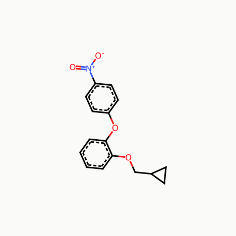 O=[N+]([O-])c1ccc(Oc2ccccc2OCC2CC2)cc1